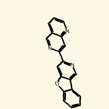 c1cnc2cc(-c3cc4oc5ccccc5c4cn3)ncc2c1